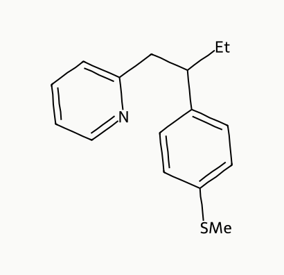 CCC(Cc1ccccn1)c1ccc(SC)cc1